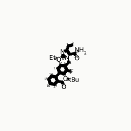 C=Cc1nc(OCC)n(Cc2ccc(-c3ccccc3C(=O)OC(C)(C)C)cc2F)c1C(N)=O